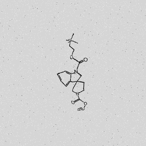 CC(C)(C)OC(=O)N1CCC2(C1)CN(C(=O)OCC[Si](C)(C)C)c1ccccc12